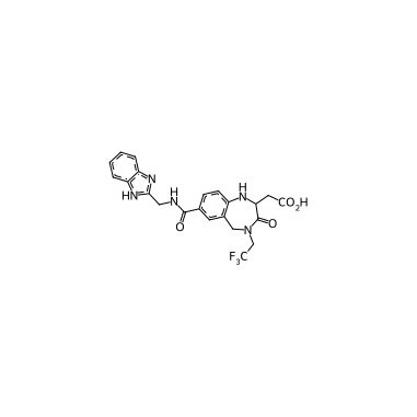 O=C(O)CC1Nc2ccc(C(=O)NCc3nc4ccccc4[nH]3)cc2CN(CC(F)(F)F)C1=O